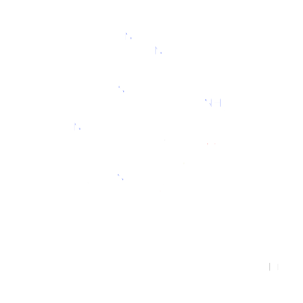 CCc1ccc(S(=O)(=O)c2c(N)c3nncn3c3nc4ccccc4nc23)cc1